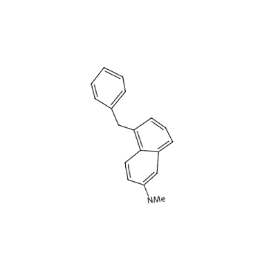 CNc1ccc2c(Cc3ccccc3)cccc2c1